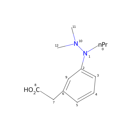 CCCN(c1cccc(CC(=O)O)c1)N(C)C